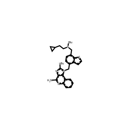 CCCCc1nc2c(N)nc3ccccc3c2n1Cc1ccc(CN(CCC2CC2)C(C)(C)C)c2sccc12